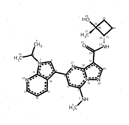 CNc1cc(-c2cn(C(C)C)c3ncccc23)nc2c(C(=O)N[C@H]3CC[C@@]3(C)O)cnn12